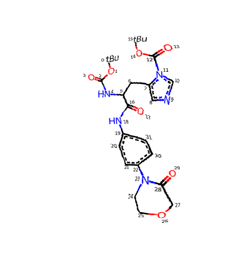 CC(C)(C)OC(=O)NC(Cc1cncn1C(=O)OC(C)(C)C)C(=O)Nc1ccc(N2CCOCC2=O)cc1